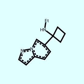 CCNC1(c2ccc3ccnn3c2)CCC1